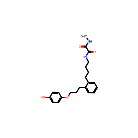 O=CNC(=O)C(=O)NCCCCc1ccccc1CCCOc1ccc(O)cc1